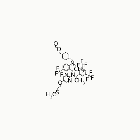 CCN(C[C@H]1CC[C@H](COC=O)CC1)c1ccc(C(F)(F)F)cc1CN(c1ncc(OCCSC)cn1)C(C)c1cc(C(F)(F)F)cc(C(F)(F)F)c1